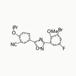 COc1c(Br)cc(F)cc1-c1noc(-c2ccc(OC(C)C)c(C#N)c2)n1